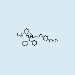 O=Cc1ccc(OCCCN(Cc2cccc(C(F)(F)F)c2Cl)CC(c2ccccc2)c2ccccc2)cc1